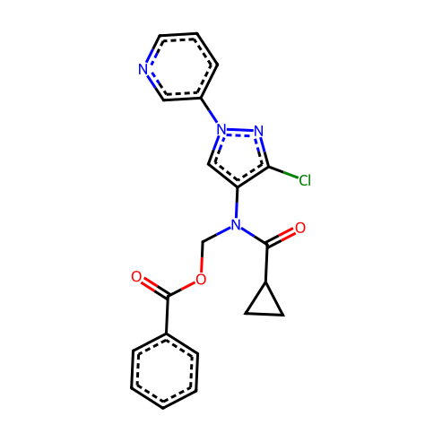 O=C(OCN(C(=O)C1CC1)c1cn(-c2cccnc2)nc1Cl)c1ccccc1